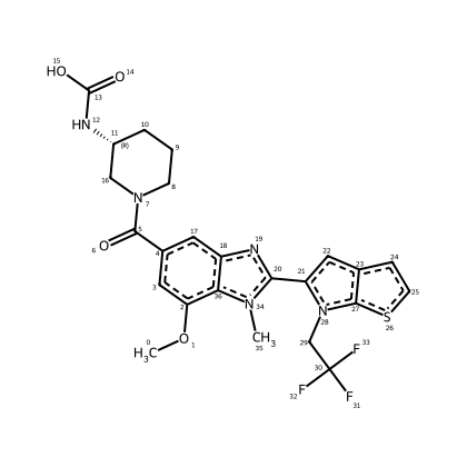 COc1cc(C(=O)N2CCC[C@@H](NC(=O)O)C2)cc2nc(-c3cc4ccsc4n3CC(F)(F)F)n(C)c12